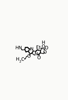 C=CCOc1c2c(nc3ccc(C=N)cc13)-c1cc3c(c(=O)n1C2)COC(=O)C3(O)CC